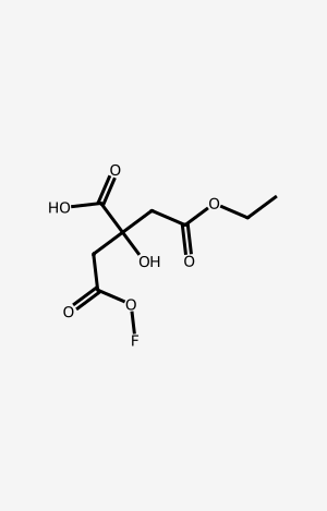 CCOC(=O)CC(O)(CC(=O)OF)C(=O)O